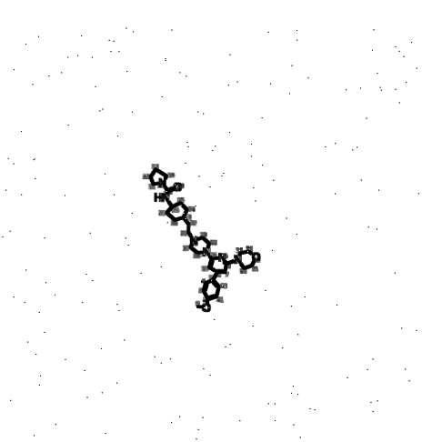 COc1ccc(-c2cc(N3CCOCC3)nc(N3CCN(CCC4CCC(NC(=O)N5CCCC5)CC4)CC3)c2)cc1